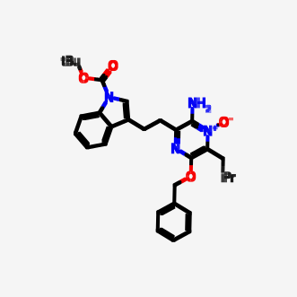 CC(C)Cc1c(OCc2ccccc2)nc(CCc2cn(C(=O)OC(C)(C)C)c3ccccc23)c(N)[n+]1[O-]